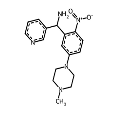 CN1CCN(c2ccc([N+](=O)[O-])c(C(N)c3cccnc3)c2)CC1